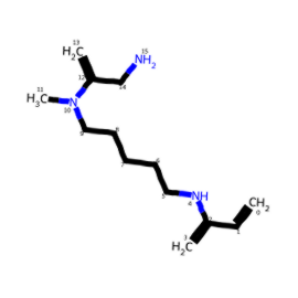 C=CC(=C)NCCCCCN(C)C(=C)CN